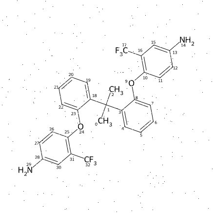 CC(C)(c1ccccc1Oc1ccc(N)cc1C(F)(F)F)c1ccccc1Oc1ccc(N)cc1C(F)(F)F